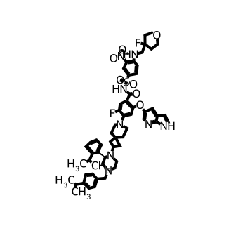 CC(C)c1ccc(CN2CCN(C3CC4(CCN(c5cc(Oc6cnc7[nH]ccc7c6)c(C(=O)NS(=O)(=O)c6ccc(NCC7(F)CCOCC7)c([N+](=O)[O-])c6)cc5F)CC4)C3)[C@H](c3ccccc3C(C)C)C2)cc1